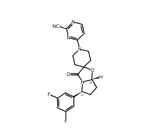 N#Cc1nccc(N2CCC3(CC2)O[C@@H]2CC[C@@H](c4cc(F)cc(F)c4)N2C3=O)n1